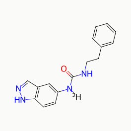 [2H]N(C(=O)NCCc1ccccc1)c1ccc2[nH]ncc2c1